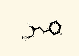 NSC(=O)CCc1ccccc1